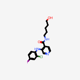 O=C(NCCCCCO)c1ccncc1Nc1ccc(I)cc1Cl